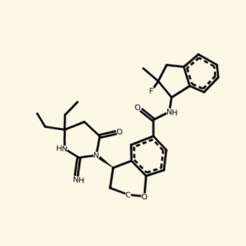 CCC1(CC)CC(=O)N([C@@H]2CCOc3ccc(C(=O)NC4c5ccccc5CC4(C)F)cc32)C(=N)N1